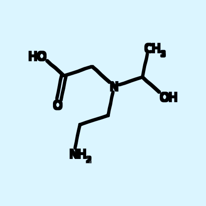 CC(O)N(CCN)CC(=O)O